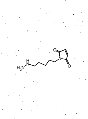 NNCCCCCN1C(=O)C=CC1=O